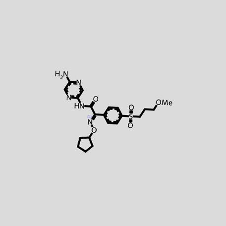 COCCCS(=O)(=O)c1ccc(/C(=N\OC2CCCC2)C(=O)Nc2cnc(N)cn2)cc1